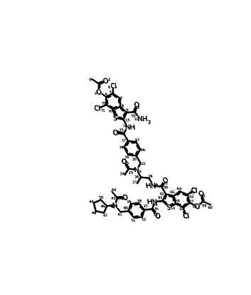 CC(=O)Oc1c(Cl)cc2c(C(N)=O)c(NC(=O)c3ccc(CN(C(C)=O)C(C)CNC(=O)c4c(NC(=O)c5ccc(CN(C(C)=O)C6CCCC6)cc5)sc5c(Cl)c(OC(C)=O)c(Cl)cc45)cc3)sc2c1Cl